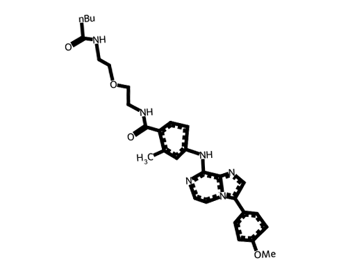 CCCCC(=O)NCCOCCNC(=O)c1ccc(Nc2nccn3c(-c4ccc(OC)cc4)cnc23)cc1C